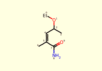 CCOC(C)C=C(C)C(N)=O